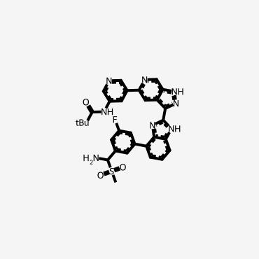 CC(C)(C)C(=O)Nc1cncc(-c2cc3c(-c4nc5c(-c6cc(F)cc(C(N)S(C)(=O)=O)c6)cccc5[nH]4)n[nH]c3cn2)c1